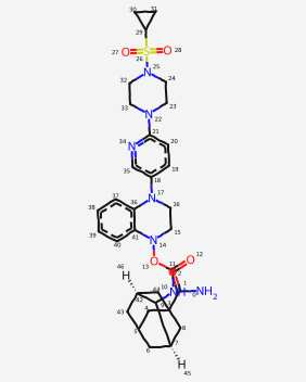 NC(=O)C12CC3C[C@H](C1)C(NC(=O)ON1CCN(c4ccc(N5CCN(S(=O)(=O)C6CC6)CC5)nc4)c4ccccc41)[C@@H](C3)C2